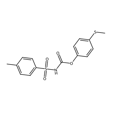 CSc1ccc(OC(=O)NS(=O)(=O)c2ccc(C)cc2)cc1